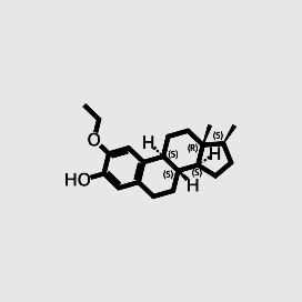 CCOc1cc2c(cc1O)CC[C@@H]1[C@@H]2CC[C@]2(C)[C@@H](C)CC[C@@H]12